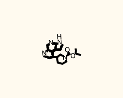 CC(C)OC(=O)N1CCCC(c2ccnc3cnc4[nH]ccc4c23)C1